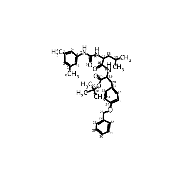 Cc1cc(C)cc(NC(=O)NC(CC(C)C)C(=O)NC(Cc2ccc(OCc3ccccc3)cc2)C(=O)OC(C)(C)C)c1